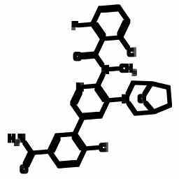 CN(C(=O)c1c(F)cccc1Cl)c1ncc(-c2cc(C(N)=O)ccc2Cl)cc1N1CC2CCC(C1)O2